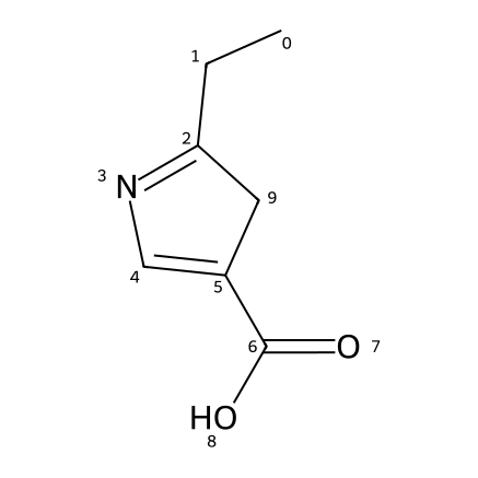 CCC1=NC=C(C(=O)O)C1